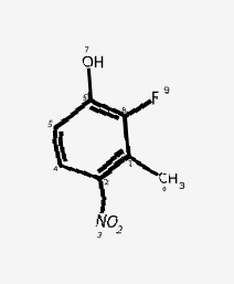 Cc1c([N+](=O)[O-])ccc(O)c1F